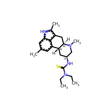 CCN(CC)C(=S)N[C@H]1C[C@@H]2c3cc(C)cc4[nH]c(C)c(c34)C[C@H]2N(C)C1